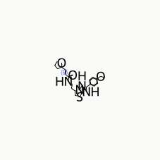 COc1ccc(C2NC3SCC(CCNC(=O)/C=C/C4CCCO4)N3N2)cc1